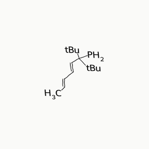 CC=CC=CC(P)(C(C)(C)C)C(C)(C)C